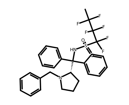 CC(F)(F)C(F)(F)C(F)(F)S(=O)(=O)NC(c1ccccc1)(c1ccccc1)[C@@H]1CCCN1Cc1ccccc1